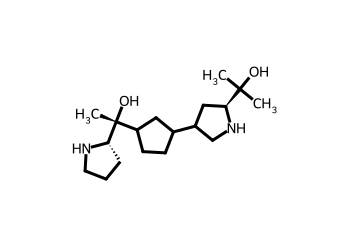 CC(C)(O)[C@@H]1CC(C2CCC([C@@](C)(O)[C@@H]3CCCN3)C2)CN1